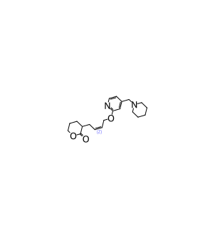 O=C1OCCCC1C/C=C\COc1cc(CN2CCCCC2)ccn1